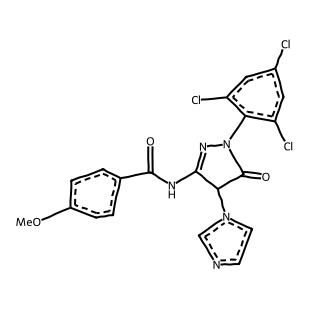 COc1ccc(C(=O)NC2=NN(c3c(Cl)cc(Cl)cc3Cl)C(=O)C2n2ccnc2)cc1